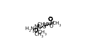 Cc1nc(N)c2nc(C)n(CCOCCNC(=O)N(C)c3ccccc3)c2c1C